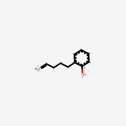 C=CCCCc1ccccc1O